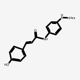 CCCCCCNc1ccc(NC(=O)/C=C/c2ccc(O)cc2)cc1